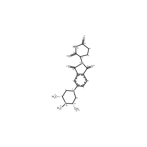 C[C@@H]1CN(c2ccc3c(c2)C(=O)N(C2CCC(=O)NC2=O)C3=O)C[C@H](C)N1C